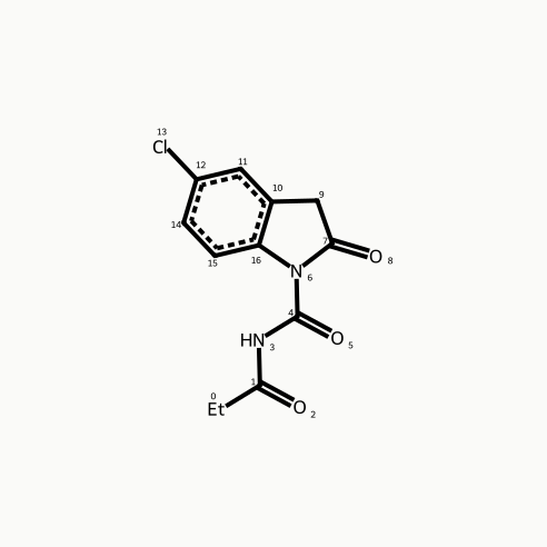 CCC(=O)NC(=O)N1C(=O)Cc2cc(Cl)ccc21